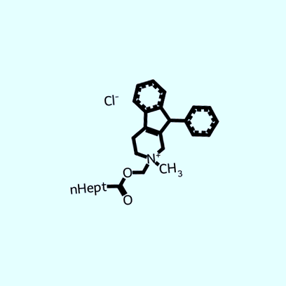 CCCCCCCC(=O)OC[N+]1(C)CCC2=C(C1)C(c1ccccc1)c1ccccc12.[Cl-]